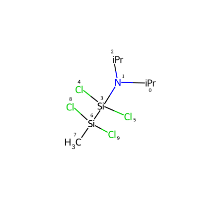 CC(C)N(C(C)C)[Si](Cl)(Cl)[Si](C)(Cl)Cl